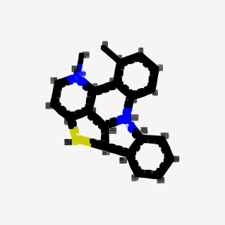 Cc1cccc2c1c1c3c(cc[n+]1C)sc1c4ccccc4n2c13